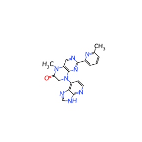 Cc1cccc(-c2ncc3c(n2)N(c2ccnc4[nH]cnc24)CC(=O)N3C)n1